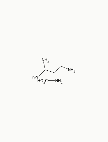 CCCC(N)CCN.NC(=O)O